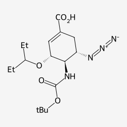 CCC(CC)O[C@@H]1C=C(C(=O)O)C[C@H](N=[N+]=[N-])[C@H]1NC(=O)OC(C)(C)C